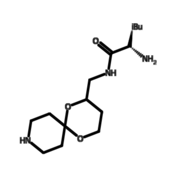 CC[C@H](C)[C@H](N)C(=O)NCC1CCOC2(CCNCC2)O1